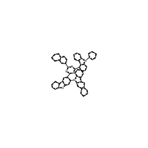 c1ccc(-n2c3ccccc3c3c(-c4nc(-c5ccc6ccccc6c5)nc(-c5cc6c(cc5-n5c7ccccc7c7cc8ccccc8cc75)oc5ccccc56)n4)cccc32)cc1